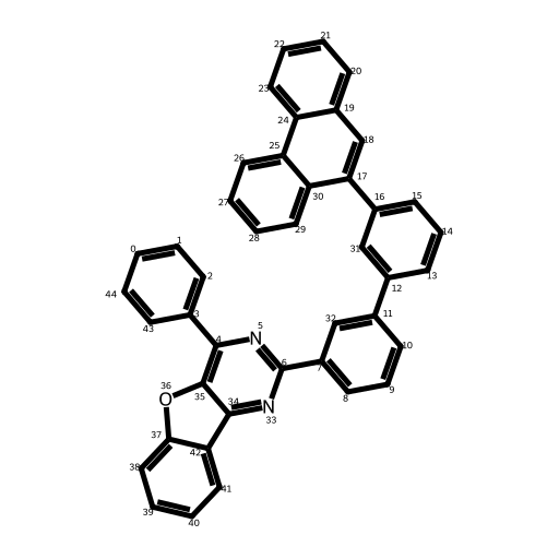 c1ccc(-c2nc(-c3cccc(-c4cccc(-c5cc6ccccc6c6ccccc56)c4)c3)nc3c2oc2ccccc23)cc1